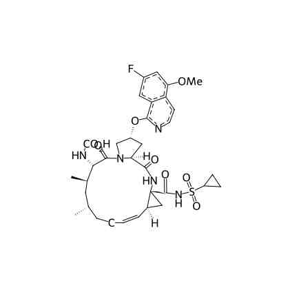 COc1cc(F)cc2c(O[C@@H]3C[C@H]4C(=O)N[C@]5(C(=O)NS(=O)(=O)C6CC6)C[C@H]5/C=C\CC[C@H](C)C[C@@H](C)[C@H](NC(=O)O)C(=O)N4C3)nccc12